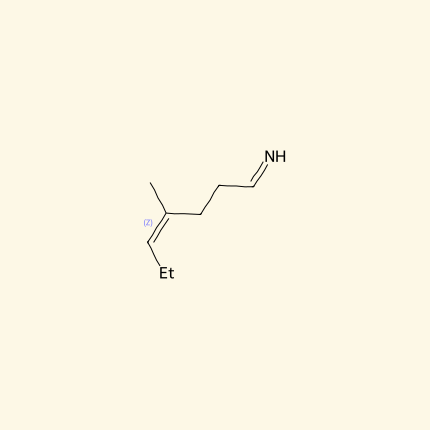 CC/C=C(/C)CCC=N